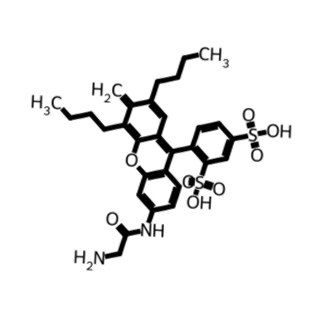 C=c1c(CCCC)cc2c(c1CCCC)Oc1cc(NC(=O)CN)ccc1C=2c1ccc(S(=O)(=O)O)cc1S(=O)(=O)O